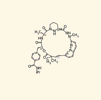 CC(C)NC(=O)c1ccc(C[C@@H]2OC(=O)C(C)(C)/C=C/c3ccc4ccc(nc4c3)N(C)NC(=O)[C@@H]3CCCN(N3)C(=O)[C@H](C)NC2=O)cc1